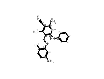 Cc1ccc(Cl)c(/N=N/c2c(Nc3ccccc3)nc(N)c(C#N)c2C)c1